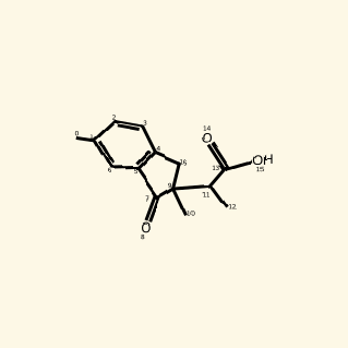 Cc1ccc2c(c1)C(=O)C(C)(C(C)C(=O)O)C2